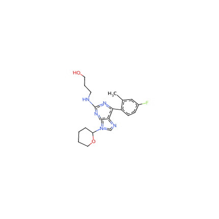 Cc1cc(F)ccc1-c1nc(NCCCO)nc2c1ncn2C1CCCCO1